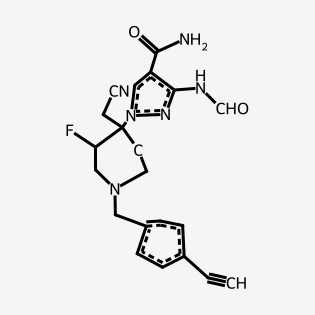 C#Cc1ccc(CN2CCC(CC#N)(n3cc(C(N)=O)c(NC=O)n3)C(F)C2)cc1